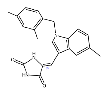 Cc1ccc(Cn2cc(/C=C3\NC(=O)NC3=O)c3cc(C)ccc32)c(C)c1